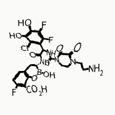 NCCN1CCN(C(=O)NC(C(=O)N[C@H]2Cc3ccc(F)c(C(=O)O)c3OB2O)c2c(F)c(F)c(O)c(O)c2Cl)C(=O)C1=O